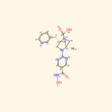 O=C(NO)c1cnc(N2C[C@]3(Cc4cccnc4)C[C@H]2CN3C(=O)O)nc1